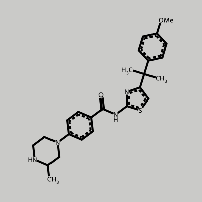 COc1ccc(C(C)(C)c2csc(NC(=O)c3ccc(N4CCNC(C)C4)cc3)n2)cc1